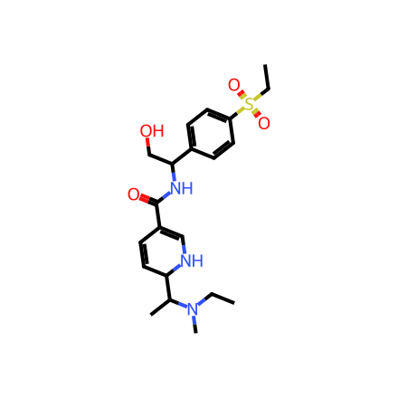 CCN(C)C(C)C1C=CC(C(=O)NC(CO)c2ccc(S(=O)(=O)CC)cc2)=CN1